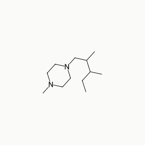 CCC(C)C(C)CN1CCN(C)CC1